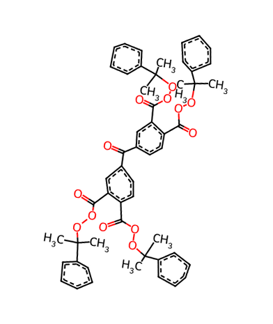 CC(C)(OOC(=O)c1ccc(C(=O)c2ccc(C(=O)OOC(C)(C)c3ccccc3)c(C(=O)OOC(C)(C)c3ccccc3)c2)cc1C(=O)OOC(C)(C)c1ccccc1)c1ccccc1